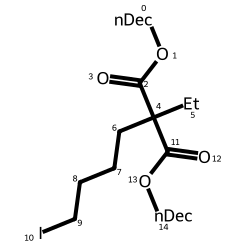 CCCCCCCCCCOC(=O)C(CC)(CCCCI)C(=O)OCCCCCCCCCC